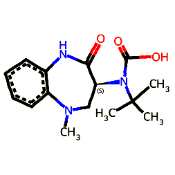 CN1C[C@H](N(C(=O)O)C(C)(C)C)C(=O)Nc2ccccc21